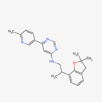 Cc1ccc(-c2cc(NCC(C)c3cccc4c3OC(C)(C)C4)ncn2)cn1